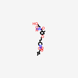 Cc1cc(OCCCC2CCN(N3OOC(C4CC(C)C4)O3)CC2)ccc1C(=O)NC[C@H](O)CO